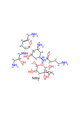 CN[C@@H]1[C@@H](O)[C@@H](O[C@H]2[C@H](NC(=O)[C@@H](O)CCN)C[C@H](N)C([C@H]3OC(CN)=CC[C@H]3NCC(O)CN)[C@@H]2O)OC[C@]1(C)O